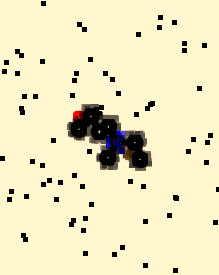 C1=c2c(-c3nc(-c4ccccc4)nc(-c4cccc5c4sc4ccccc45)n3)cccc2=C(c2cccc3oc4ccccc4c23)CC1